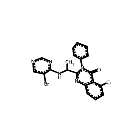 CC(Nc1ncncc1Br)c1nc2cccc(Cl)c2c(=O)n1-c1ccccc1